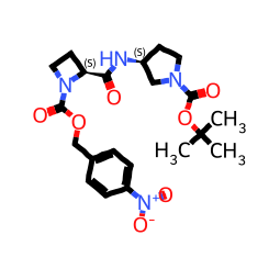 CC(C)(C)OC(=O)N1CC[C@H](NC(=O)[C@@H]2CCN2C(=O)OCc2ccc([N+](=O)[O-])cc2)C1